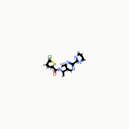 CC1c2cnc(-c3ncccn3)nc2CN1C(=O)c1ccc(Cl)s1